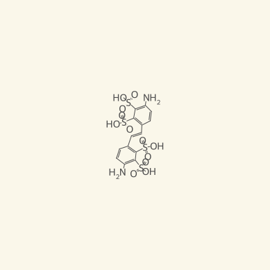 Nc1ccc(/C=C/c2ccc(N)c(S(=O)(=O)O)c2S(=O)(=O)O)c(S(=O)(=O)O)c1S(=O)(=O)O